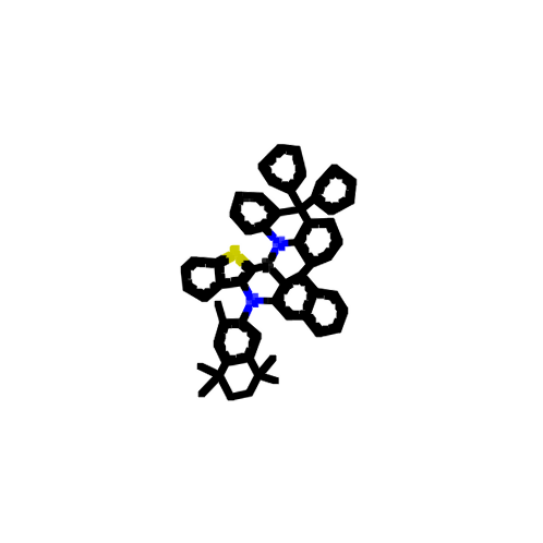 Cc1cc2c(cc1N1c3cc4ccccc4c4c3B(c3sc5ccccc5c31)N1c3ccccc3C(c3ccccc3)(c3ccccc3)c3cccc-4c31)C(C)(C)CCC2(C)C